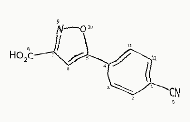 N#Cc1ccc(-c2cc(C(=O)O)no2)cc1